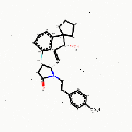 O=C(O)c1ccc(CCN2C(=O)CC[C@@H]2/C=C/[C@@H](O)C2(c3cccc(F)c3)CCCC2)cc1